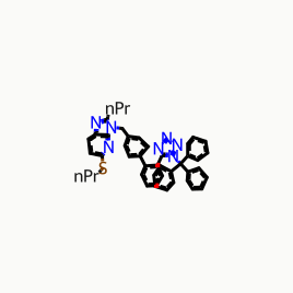 CCCSc1ccc2nc(CCC)n(Cc3ccc(-c4ccccc4-c4nnnn4C(c4ccccc4)(c4ccccc4)c4ccccc4)cc3)c2n1